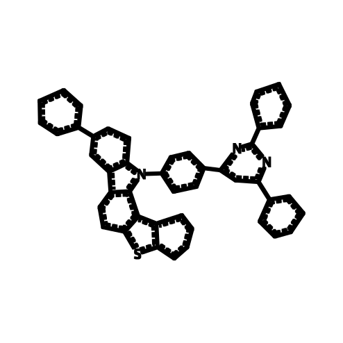 c1ccc(-c2ccc3c(c2)c2ccc4sc5ccccc5c4c2n3-c2ccc(-c3cc(-c4ccccc4)nc(-c4ccccc4)n3)cc2)cc1